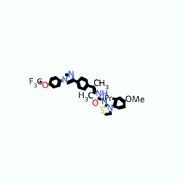 COc1ccc(N2CCS/C2=N\C(=O)N/C(C)=C(\C)c2ccc(-c3cn(-c4ccc(OC(F)(F)F)cc4)cn3)cc2)c(C(C)C)c1